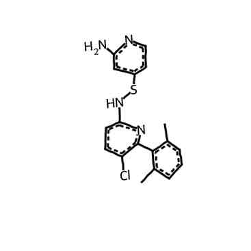 Cc1cccc(C)c1-c1nc(NSc2ccnc(N)c2)ccc1Cl